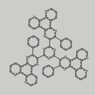 c1ccc(-c2nc3c4cccnc4c4ncccc4c3nc2-c2nc(-c3nc4c5cccnc5c5ncccc5c4nc3-c3ccccc3)nc(-c3nc4c5cccnc5c5ncccc5c4nc3-c3ccccc3)n2)cc1